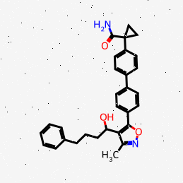 Cc1noc(-c2ccc(-c3ccc(C4(C(N)=O)CC4)cc3)cc2)c1C(O)CCCc1ccccc1